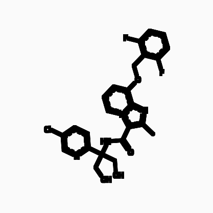 Cc1nc2c(OCc3c(F)cccc3F)cccn2c1C(=O)NC(CO)(CO)c1ccc(Cl)cn1